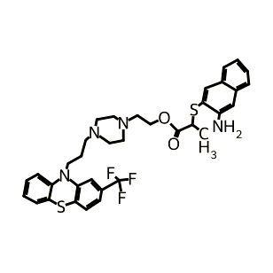 CC(Sc1cc2ccccc2cc1N)C(=O)OCCN1CCN(CCCN2c3ccccc3Sc3ccc(C(F)(F)F)cc32)CC1